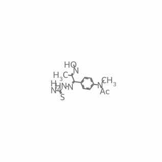 CC(=O)N(C)c1ccc(C(=NNC(N)=S)C(C)=NO)cc1